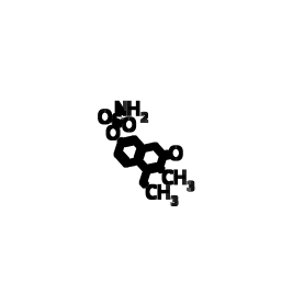 CCC1=C(C)C(=O)Cc2cc(OS(N)(=O)=O)ccc21